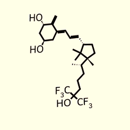 C=C1C(=CC=C[C@@H]2CC[C@](C)([C@@H](C)CCCC(O)(C(F)(F)F)C(F)(F)F)C2(C)C)C[C@@H](O)C[C@@H]1O